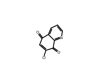 O=C1C=C(Cl)C(=O)c2ncccc21